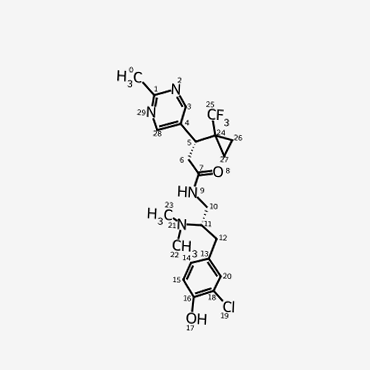 Cc1ncc([C@@H](CC(=O)NC[C@H](Cc2ccc(O)c(Cl)c2)N(C)C)C2(C(F)(F)F)CC2)cn1